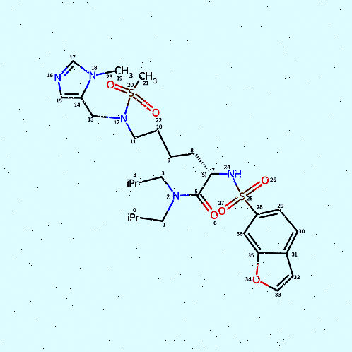 CC(C)CN(CC(C)C)C(=O)[C@H](CCCCN(Cc1cncn1C)S(C)(=O)=O)NS(=O)(=O)c1ccc2ccoc2c1